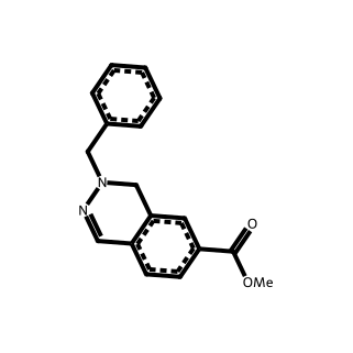 COC(=O)c1ccc2c(c1)CN(Cc1ccccc1)N=C2